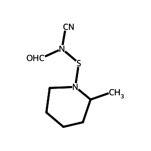 CC1CCCCN1SN(C#N)C=O